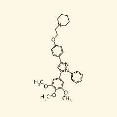 COc1cc(-c2cc(-c3ccc(OCCN4CCCCC4)cc3)nn2-c2ccccc2)cc(OC)c1OC